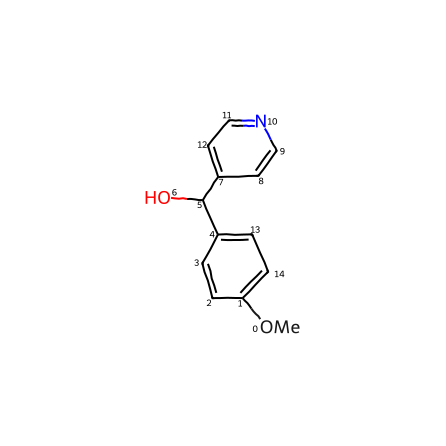 COc1ccc(C(O)c2ccncc2)cc1